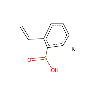 C=Cc1ccccc1S(=O)O.[K]